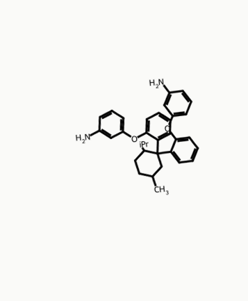 CC1CCC(C(C)C)C(c2ccccc2Oc2cccc(N)c2)(c2ccccc2Oc2cccc(N)c2)C1